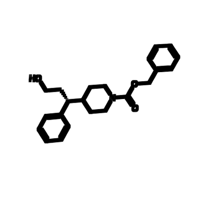 O=C(OCc1ccccc1)N1CCC([C@@H](CCO)c2ccccc2)CC1